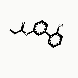 CCC(=O)Oc1cccc(-c2ccccc2O)c1